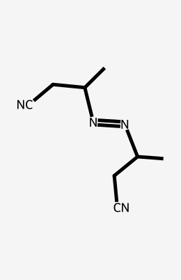 CC(CC#N)N=NC(C)CC#N